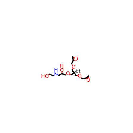 CCC(COCC(O)CNCCO)(COCC1CO1)COCC1CO1